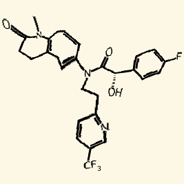 CN1C(=O)CCc2cc(N(CCc3ccc(C(F)(F)F)cn3)C(=O)[C@@H](O)c3ccc(F)cc3)ccc21